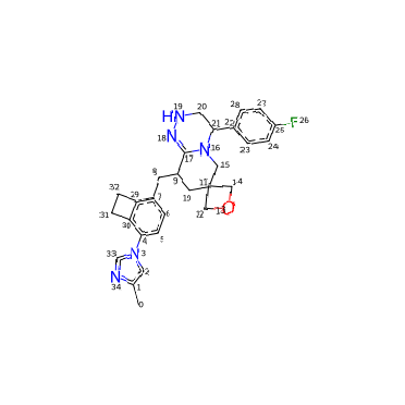 Cc1cn(-c2ccc(CC3CC4(COC4)CN4C3=NNCC4c3ccc(F)cc3)c3c2CC3)cn1